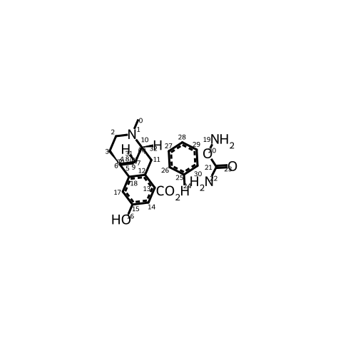 CN1CC[C@]23CCCC[C@H]2[C@H]1Cc1ccc(O)cc13.NOC(N)=O.O=C(O)c1ccccc1